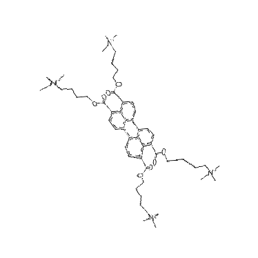 C[N+](C)(C)CCCCOC(=O)c1ccc2c3ccc(C(=O)OCCCC[N+](C)(C)C)c4c(C(=O)OCCCC[N+](C)(C)C)ccc(c5ccc(C(=O)OCCCC[N+](C)(C)C)c1c25)c43